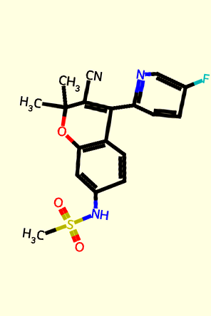 CC1(C)Oc2cc(NS(C)(=O)=O)ccc2C(c2ccc(F)cn2)=C1C#N